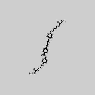 C=CC(=O)OCCCCOc1ccc(C#CC#Cc2ccc(C(=O)Sc3ccc(OCCCOC(=O)C=C)cc3)cc2)cc1